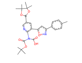 Cc1ccc(-c2cc(-c3cc(B4OC(C)(C)C(C)(C)O4)cnc3N(C(=O)O)C(=O)OC(C)(C)C)on2)cc1